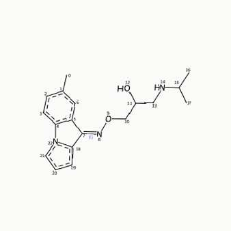 Cc1ccc2c(c1)/C(=N\OCC(O)CNC(C)C)c1cccn1-2